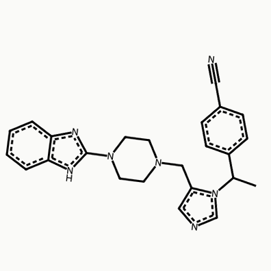 CC(c1ccc(C#N)cc1)n1cncc1CN1CCN(c2nc3ccccc3[nH]2)CC1